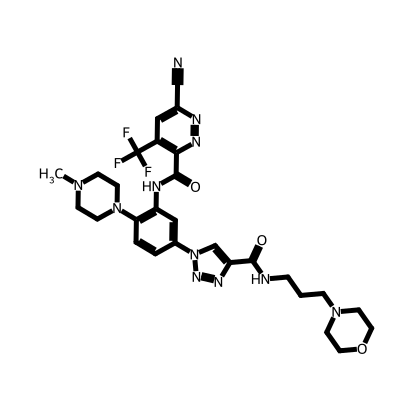 CN1CCN(c2ccc(-n3cc(C(=O)NCCCN4CCOCC4)nn3)cc2NC(=O)c2nnc(C#N)cc2C(F)(F)F)CC1